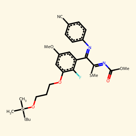 COC(=O)N=C(SC)C(=Nc1ccc(C#N)cc1)c1cc(OC)cc(OCCCO[Si](C)(C)C(C)(C)C)c1F